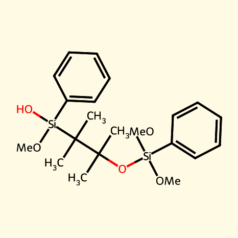 CO[Si](OC)(OC(C)(C)C(C)(C)[Si](O)(OC)c1ccccc1)c1ccccc1